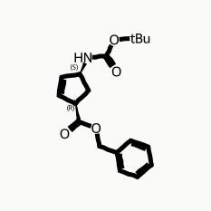 CC(C)(C)OC(=O)N[C@@H]1C=C[C@H](C(=O)OCc2ccccc2)C1